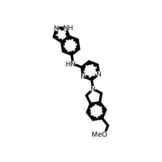 COCc1ccc2c(c1)CN(c1nccc(Nc3ccc4[nH]ncc4c3)n1)C2